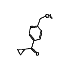 CCc1ccc(C(=O)C2CC2)cc1